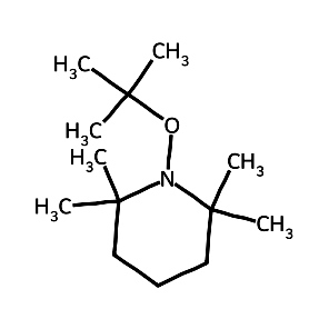 CC(C)(C)ON1C(C)(C)CCCC1(C)C